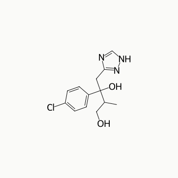 CC(CO)C(O)(Cc1nc[nH]n1)c1ccc(Cl)cc1